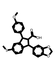 COc1ccc(C2c3cc(SC)ccc3C(c3ccc4c(c3)OCO4)C2C(=O)O)cc1